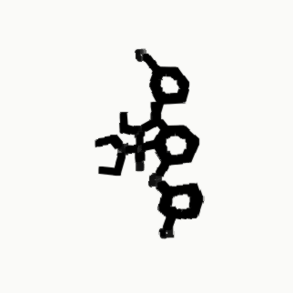 CCN(CC)P(=S)(c1c(Oc2cccc(Cl)c2)cccc1Oc1cccc(Cl)c1)N(CC)CC